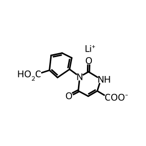 O=C(O)c1cccc(-n2c(=O)cc(C(=O)[O-])[nH]c2=O)c1.[Li+]